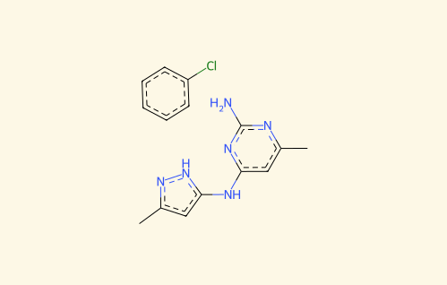 Cc1cc(Nc2cc(C)nc(N)n2)[nH]n1.Clc1ccccc1